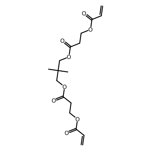 C=CC(=O)OCCC(=O)OCC(C)(C)COC(=O)CCOC(=O)C=C